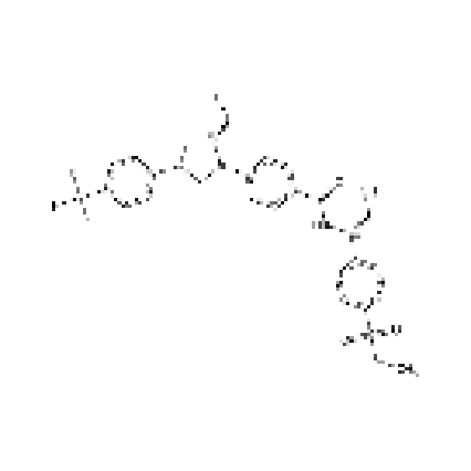 CCS(=O)(=O)c1ccc([C@H](CO)NC(=O)c2ccc(N3CC(c4ccc(C(F)(F)F)cc4)C[C@H]3CF)cc2)cc1